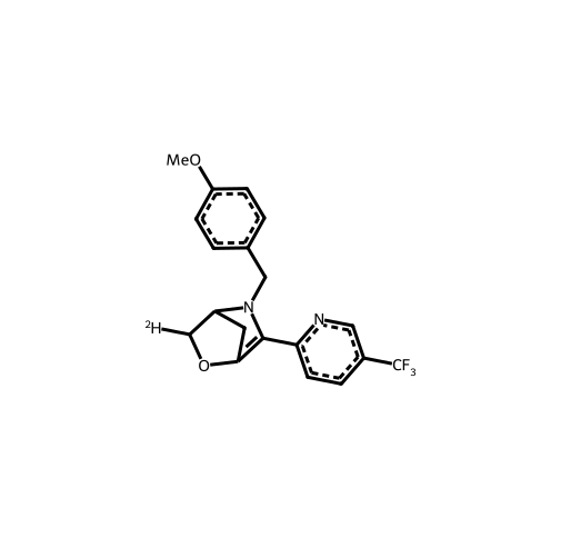 [2H]C1OC2=C(c3ccc(C(F)(F)F)cn3)N(Cc3ccc(OC)cc3)C1C2